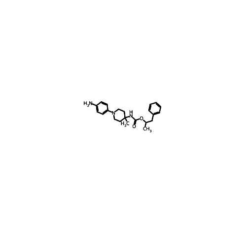 CC(Cc1ccccc1)OC(=O)NC1(C)CCN(c2ccc(N)cc2)CC1